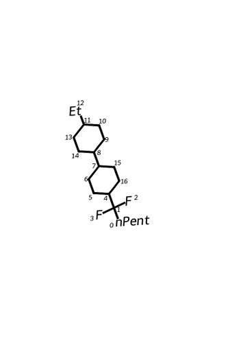 CCCCCC(F)(F)C1CCC(C2CCC(CC)CC2)CC1